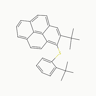 CC(C)(C)c1ccccc1Sc1c(C(C)(C)C)cc2ccc3cccc4ccc1c2c34